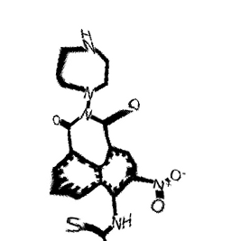 O=C1c2cccc3c(NC(=S)S)c([N+](=O)[O-])cc(c23)C(=O)N1N1CCNCC1